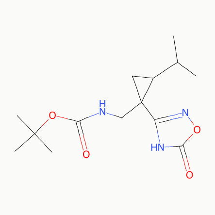 CC(C)C1CC1(CNC(=O)OC(C)(C)C)c1noc(=O)[nH]1